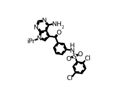 CC(C)n1cc(C(=O)c2cccc(NS(=O)(=O)c3cc(Cl)ccc3Cl)c2)c2c(N)ncnc21